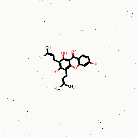 CC(C)=CCc1c(O)c(CC=C(C)C)c2oc3cc(O)ccc3c(=O)c2c1O